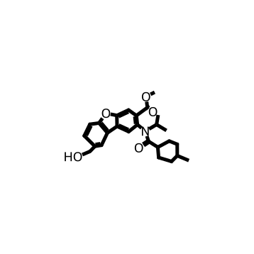 COC(=O)c1cc2oc3ccc(CO)cc3c2cc1N(C(=O)C1CCC(C)CC1)C(C)C